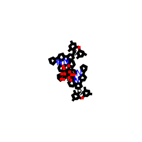 Cc1cc(C)c(B(c2ccc3c(c2)c2ccc4c5ccccc5n(-c5cccc(B(c6ccccc6)c6ccccc6)c5)c4c2n3-c2ccc(B(c3ccccc3)c3ccc(-n4c5ccc(B(c6c(C)cc(C)cc6C)c6c(C)cc(C)cc6C)cc5c5ccc6c7ccccc7n(-c7cccc(B(c8ccccc8)c8ccccc8)c7)c6c54)cc3)cc2)c2c(C)cc(C)cc2C)c(C)c1